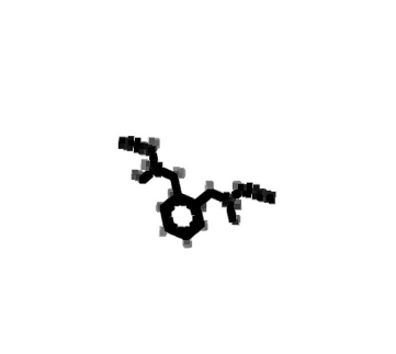 CCCCCCN(C)Cc1ccccc1CN(C)CCCCCC